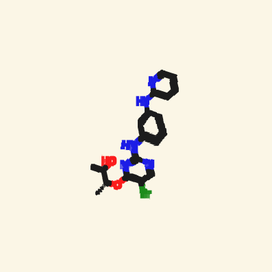 CC(O)[C@@H](C)Oc1nc(Nc2cccc(Nc3ccccn3)c2)ncc1Br